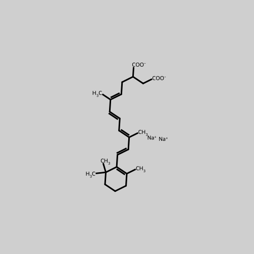 CC(C=CC1=C(C)CCCC1(C)C)=CC=CC(C)=CCC(CC(=O)[O-])C(=O)[O-].[Na+].[Na+]